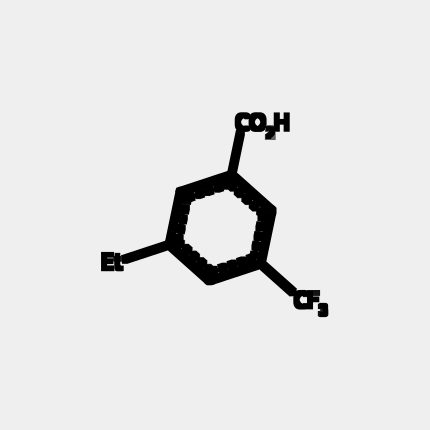 CCc1cc(C(=O)O)cc(C(F)(F)F)c1